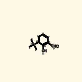 C[Si](C)(C)c1cccc(C=O)c1O